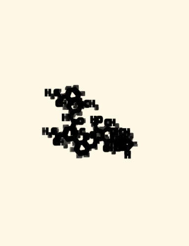 COc1c(CN2O[C@@H](CO)[C@@H]([C@H](C)O)[C@H]2C(=O)N[C@H]2C[C@H]3C[C@@H]([C@@H]2C)C3(C)C)cccc1-c1cc(C(=O)N[C@@H](Cc2ccccc2N(C)C)CN(C)C)cc(N(C)C)c1